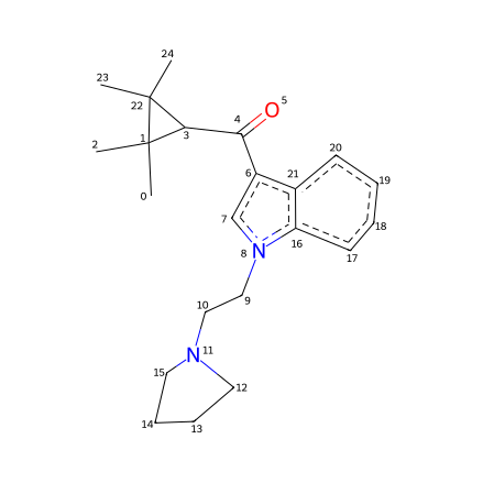 CC1(C)C(C(=O)c2cn(CCN3CCCC3)c3ccccc23)C1(C)C